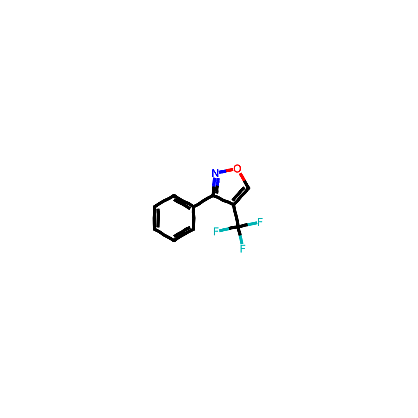 FC(F)(F)c1conc1-c1ccccc1